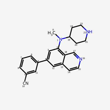 CN(c1cc(-c2cccc(C#N)c2)cc2ccncc12)C1CCNCC1